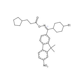 CCC1CCC(/C(=N/OC(=O)CCC2CCCC2)c2ccc3c(c2)C(C)(C)c2cc([N+](=O)[O-])ccc2-3)CC1